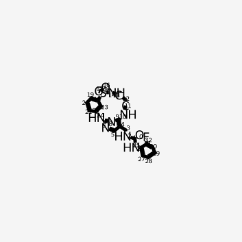 O=C(NCc1cnc2nc1NCCCNS(=O)(=O)c1cccc(c1)N2)Nc1ccccc1F